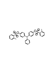 Cc1ccccc1S(=O)(=O)Oc1ccc(C(c2ccccc2)c2ccc(OS(=O)(=O)c3ccccc3C)cc2)cc1